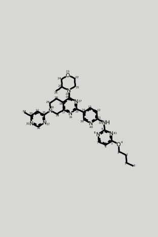 CCCCOc1ccnc(Nc2ccc(-c3nc4c(c(N5CCOCC5C)n3)CCN(c3cc(C)ncn3)C4)cn2)n1